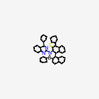 c1ccc(B2c3ccc4ccccc4c3-c3c(c4sc5ccccc5c4c4ccccc34)N2c2nc(-c3ccccc3)c3ccccc3n2)cc1